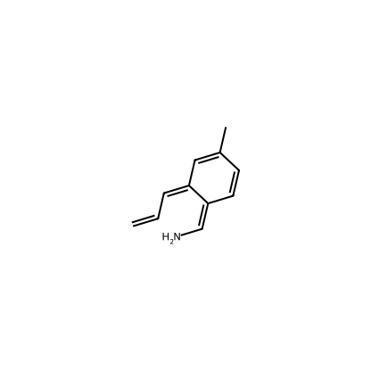 C=C/C=c1/cc(C)cc/c1=C/N